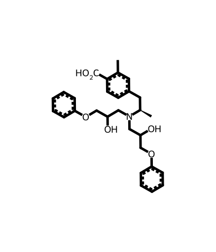 Cc1cc(C[C@@H](C)N(CC(O)COc2ccccc2)CC(O)COc2ccccc2)ccc1C(=O)O